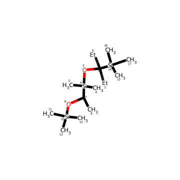 CCC(CC)(O[Si](C)(C)C(C)O[Si](C)(C)C)[Si](C)(C)C